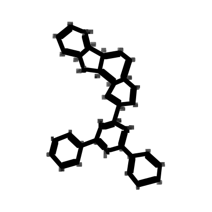 c1ccc(-c2nc(-c3ccccc3)nc(-c3ccc4ccc5c6ncccc6sc5c4c3)n2)cc1